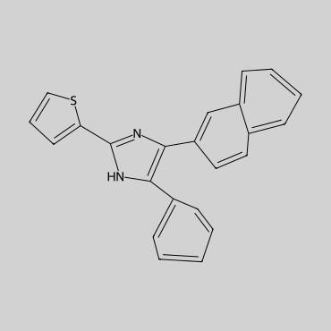 c1ccc(-c2[nH]c(-c3cccs3)nc2-c2ccc3ccccc3c2)cc1